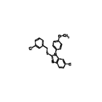 COc1ccc(-n2c(SCc3cccc(Cl)c3)nc3ccc(Cl)cc32)cc1